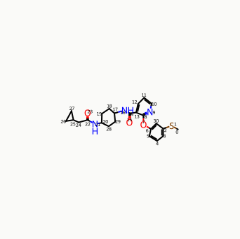 CSc1cccc(Oc2ncccc2C(=O)NC2CCC(NC(=O)CC3CC3)CC2)c1